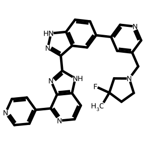 CC1(F)CCN(Cc2cncc(-c3ccc4[nH]nc(-c5nc6c(-c7ccncc7)nccc6[nH]5)c4c3)c2)C1